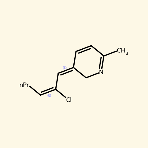 CCC/C=C(Cl)\C=C1\C=CC(C)=NC1